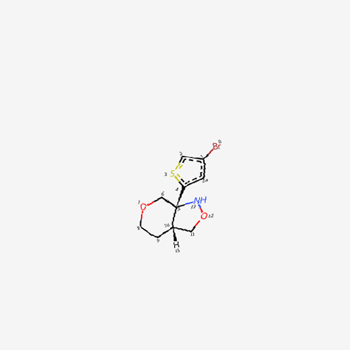 Brc1csc([C@]23COCC[C@H]2CON3)c1